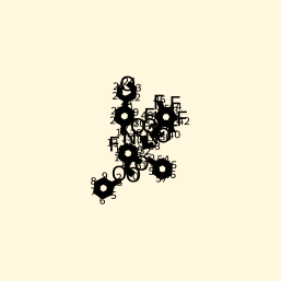 O=C(OCc1ccccc1)c1cc(F)c(N(Cc2ccc(C3=CCOCC3)cc2)C(=O)[C@H]2CCN2S(=O)(=O)c2c(F)c(F)c(F)c(F)c2F)cc1OCc1ccccc1